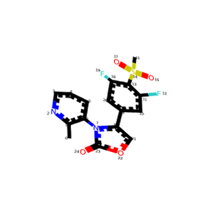 Cc1ncccc1-n1c(-c2cc(F)c(S(C)(=O)=O)c(F)c2)coc1=O